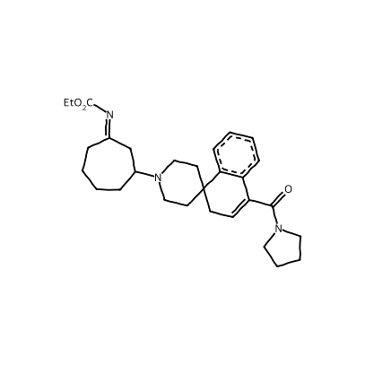 CCOC(=O)/N=C1\CCCCC(N2CCC3(CC=C(C(=O)N4CCCC4)c4ccccc43)CC2)C1